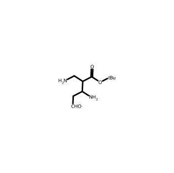 CC(C)(C)OC(=O)C(CN)C(N)C[C]=O